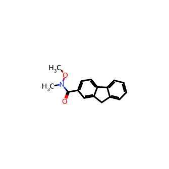 CON(C)C(=O)c1ccc2c(c1)Cc1ccccc1-2